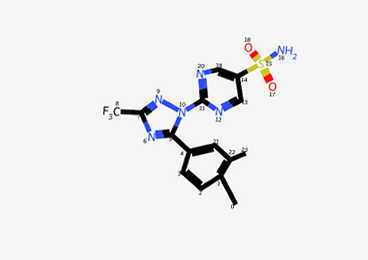 Cc1ccc(-c2nc(C(F)(F)F)nn2-c2ncc(S(N)(=O)=O)cn2)cc1C